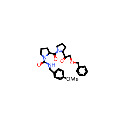 COc1ccc(CNC(=O)N2CCCC2C(=O)N2CCCC2C(=O)COCc2ccccc2)cc1